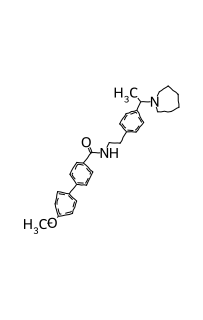 COc1ccc(-c2ccc(C(=O)NCCc3ccc(C(C)N4CCCCCC4)cc3)cc2)cc1